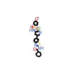 COc1ccc(S(=O)(=O)Nc2cc(-c3ccc4nc(NC(=O)C5CCCCC5)sc4c3)cnc2Cl)cc1